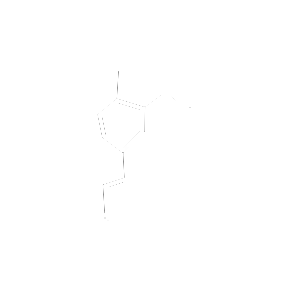 CC(=O)/C=C/c1ccc(C)c(OC(C)(C)C)c1